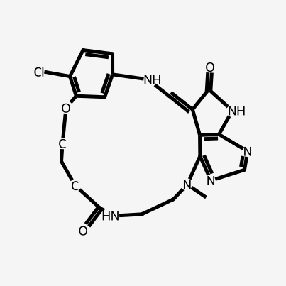 CN1CCNC(=O)CCCOc2cc(ccc2Cl)N/C=C2\C(=O)Nc3ncnc1c32